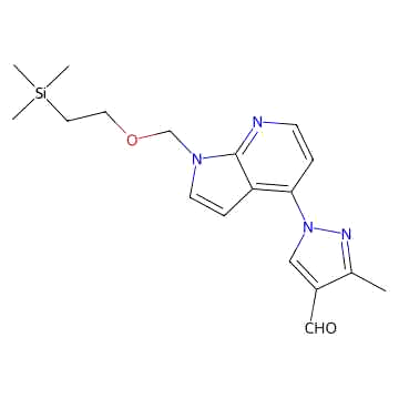 Cc1nn(-c2ccnc3c2ccn3COCC[Si](C)(C)C)cc1C=O